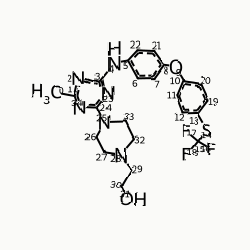 Cc1nc(Nc2ccc(Oc3ccc(SC(F)(F)F)cc3)cc2)nc(N2CCN(CCO)CC2)n1